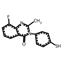 Cc1nc2c(F)cccc2c(=O)n1-c1ccc(S)cc1